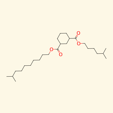 CC(C)CCCCCCCCOC(=O)C1CCCC(C(=O)OCCCCC(C)C)C1